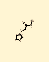 CCOC(=O)CO[C@H]1CCOC1